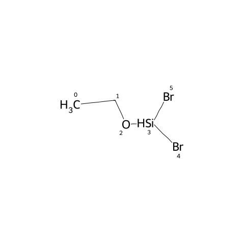 CCO[SiH](Br)Br